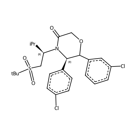 CC(C)[C@H](CS(=O)(=O)C(C)(C)C)N1C(=O)COC(c2cccc(Cl)c2)[C@H]1c1ccc(Cl)cc1